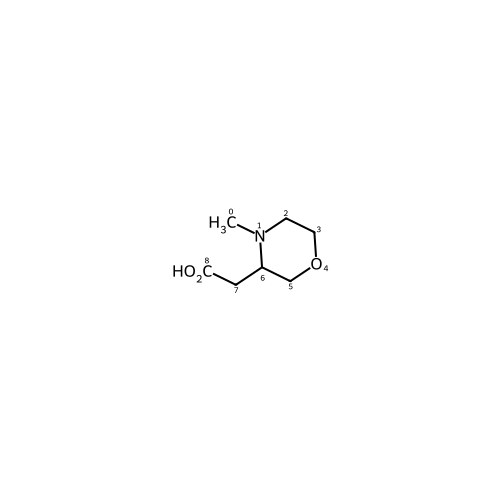 CN1CCOCC1CC(=O)O